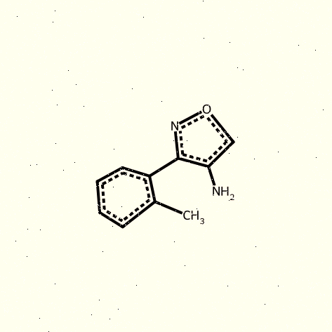 Cc1ccccc1-c1nocc1N